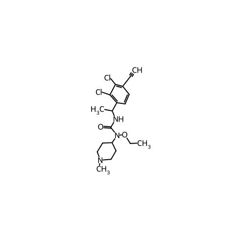 C#Cc1ccc(C(C)NC(=O)N(OCC)C2CCN(C)CC2)c(Cl)c1Cl